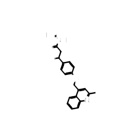 Cc1cc(COc2ccc(C(O)CC(=O)NO)cc2)c2ccccc2n1